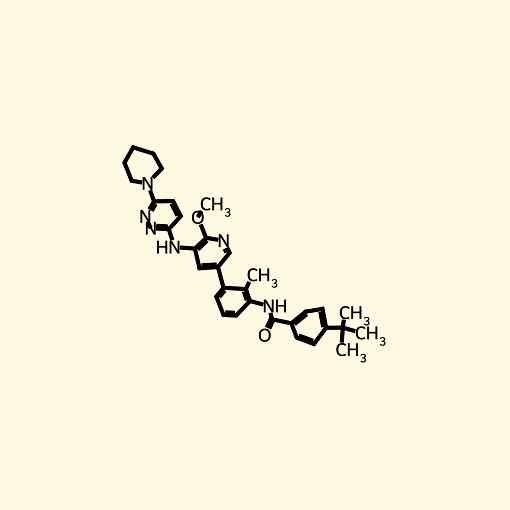 COc1ncc(-c2cccc(NC(=O)c3ccc(C(C)(C)C)cc3)c2C)cc1Nc1ccc(N2CCCCC2)nn1